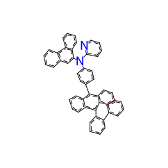 c1ccc(-c2ccccc2-c2c3ccccc3c(-c3ccc(N(c4ccccn4)c4cc5ccccc5c5ccccc45)cc3)c3ccccc23)cc1